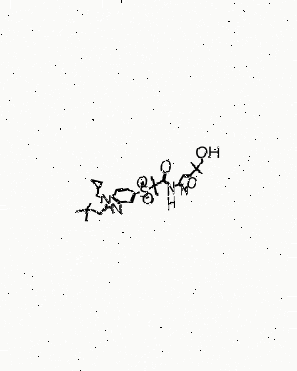 CC(C)(C)Cc1nc2cc(S(=O)(=O)C(C)(C)C(=O)Nc3cc(C(C)(C)CO)on3)ccc2n1CC1CC1